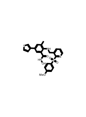 COc1ccc(S(=O)(=O)c2ncccc2CNc2c(C)cc(-c3ccsc3)cc2C(=O)NO)cc1